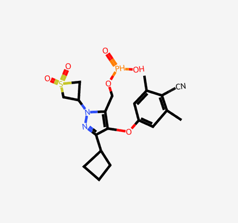 Cc1cc(Oc2c(C3CCC3)nn(C3CS(=O)(=O)C3)c2CO[PH](=O)O)cc(C)c1C#N